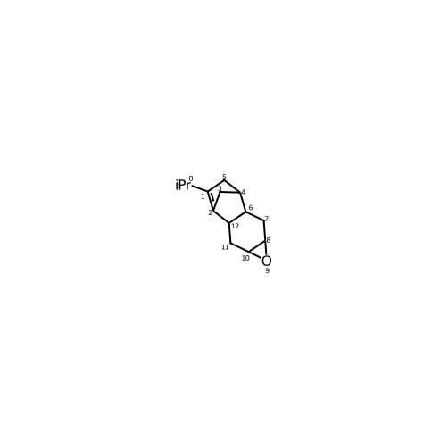 CC(C)C1=C2CC(C1)C1CC3OC3CC21